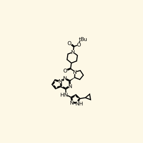 CC(C)(C)OC(=O)N1CCC(C(=O)N2CCC[C@H]2c2nc(Nc3cc(C4CC4)[nH]n3)c3cccn3n2)CC1